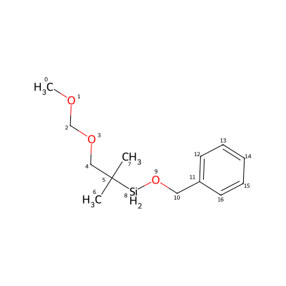 COCOCC(C)(C)[SiH2]OCc1ccccc1